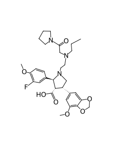 CCCN(CCN1C[C@H](c2cc(OC)c3c(c2)OCO3)[C@H](C(=O)O)[C@H]1c1ccc(OC)c(F)c1)CC(=O)N1CCCC1